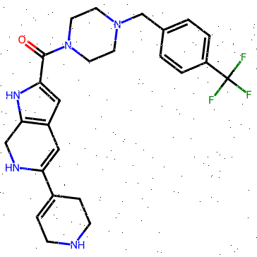 O=C(c1cc2c([nH]1)CNC(C1=CCNCC1)=C2)N1CCN(Cc2ccc(C(F)(F)F)cc2)CC1